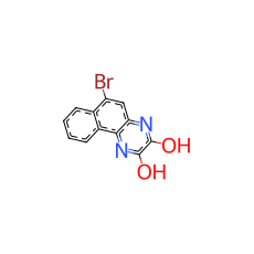 Oc1nc2cc(Br)c3ccccc3c2nc1O